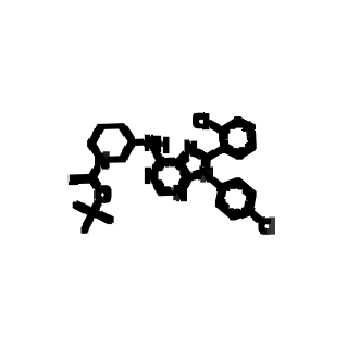 C=C(OC(C)(C)C)N1CCCC(Nc2ncnc3c2nc(-c2ccccc2Cl)n3-c2ccc(Cl)cc2)C1